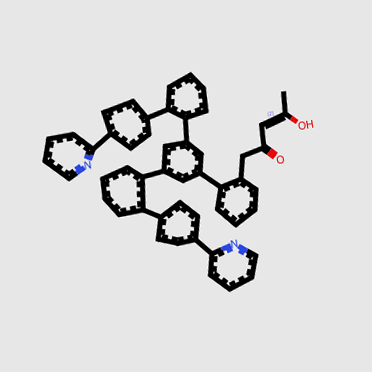 C/C(O)=C/C(=O)Cc1ccccc1-c1cc(-c2ccccc2-c2ccc(-c3ccccn3)cc2)cc(-c2ccccc2-c2ccc(-c3ccccn3)cc2)c1